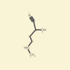 CNCCC(O)C#N